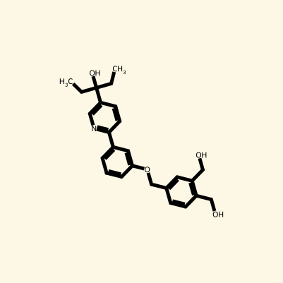 CCC(O)(CC)c1ccc(-c2cccc(OCc3ccc(CO)c(CO)c3)c2)nc1